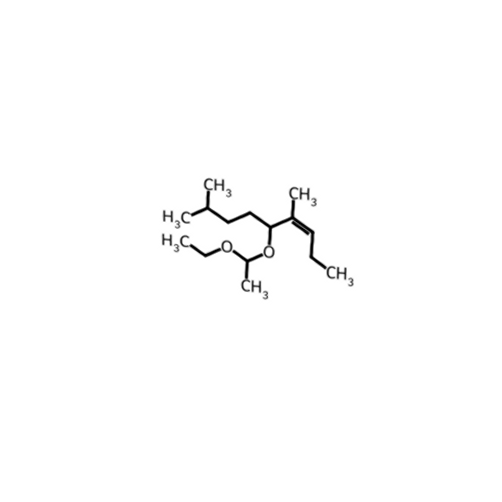 CCC=C(C)C(CCC(C)C)OC(C)OCC